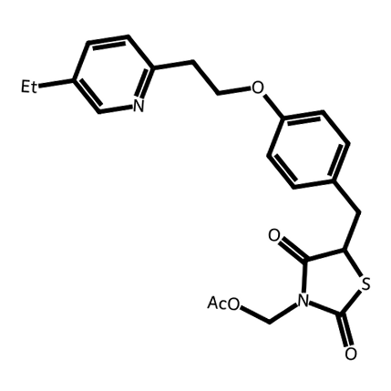 CCc1ccc(CCOc2ccc(CC3SC(=O)N(COC(C)=O)C3=O)cc2)nc1